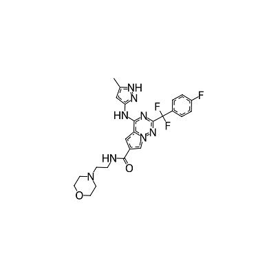 Cc1cc(Nc2nc(C(F)(F)c3ccc(F)cc3)nn3cc(C(=O)NCCN4CCOCC4)cc23)n[nH]1